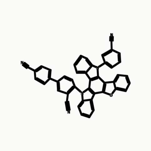 N#Cc1ccc(-c2ccc(-n3c4ccccc4c4c5oc6ccccc6c5c5c(c6ccccc6n5-c5cccc(C#N)c5)c43)c(C#N)c2)cc1